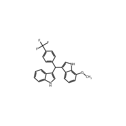 COc1cccc2c(C(c3ccc(C(F)(F)F)cc3)c3c[nH]c4ccccc34)c[nH]c12